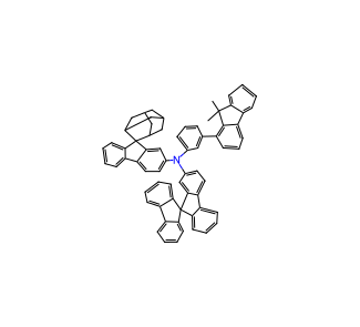 CC1(C)c2ccccc2-c2cccc(-c3cccc(N(c4ccc5c(c4)C4(c6ccccc6-c6ccccc64)c4ccccc4-5)c4ccc5c(c4)C4(c6ccccc6-5)C5CC6CC(C5)CC4C6)c3)c21